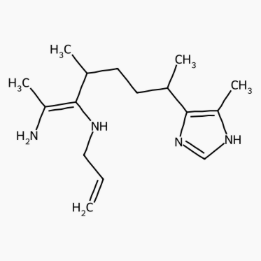 C=CCN/C(=C(/C)N)C(C)CCC(C)c1nc[nH]c1C